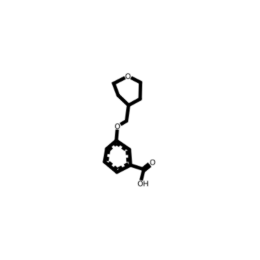 O=C(O)c1cccc(OCC2CCOCC2)c1